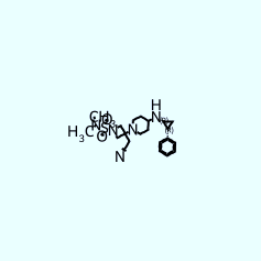 CN(C)S(=O)(=O)N1CC(CC#N)(N2CCC(N[C@@H]3C[C@@H]3c3ccccc3)CC2)C1